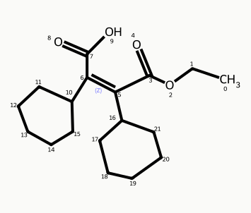 CCOC(=O)/C(=C(\C(=O)O)C1CCCCC1)C1CCCCC1